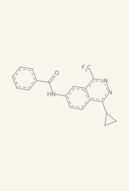 O=C(Nc1ccc2c(C3CC3)nnc(C(F)(F)F)c2c1)c1ccccc1